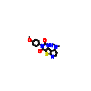 COc1ccc(-n2c(=O)[nH]c3c(sc4nccc(N(C)C)c43)c2=O)cc1